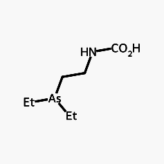 CC[As](CC)CCNC(=O)O